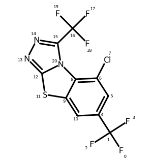 FC(F)(F)c1cc(Cl)c2c(c1)sc1nnc(C(F)(F)F)n12